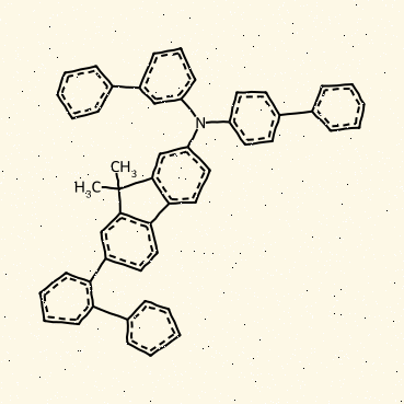 CC1(C)c2cc(-c3ccccc3-c3ccccc3)ccc2-c2ccc(N(c3ccc(-c4ccccc4)cc3)c3cccc(-c4ccccc4)c3)cc21